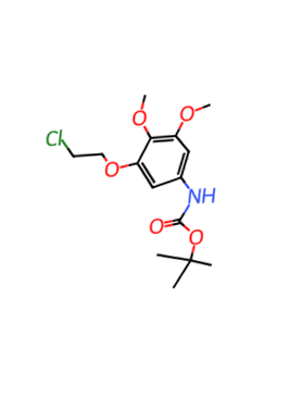 COc1cc(NC(=O)OC(C)(C)C)cc(OCCCl)c1OC